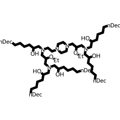 CCCCCCCCCCCCCCC(O)CN(CCN1CCN(CC(CN(CC(O)CCCCCCCCCCCCCC)CC(O)CCCCCCCCCCCCCC)OCC)CC1)CC(CN(CC(O)CCCCCCCCCCCCCC)CC(O)CCCCCCCCCCCCCC)OCC